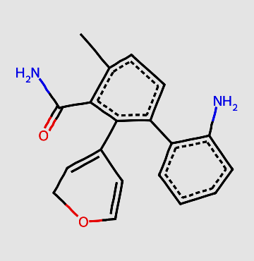 Cc1ccc(-c2ccccc2N)c(C2=CCOC=C2)c1C(N)=O